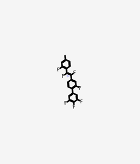 Cc1ccc(/C(F)=C(\F)c2ccc(-c3cc(F)c(F)c(F)c3)c(F)c2)c(F)c1